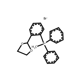 C[P+](c1ccccc1)(c1ccccc1)c1ccccc1C1OCCO1.[Br-]